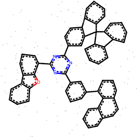 c1cc(-c2nc(-c3ccc4c(c3)C3(c5ccccc5-c5ccccc53)c3ccccc3-4)nc(-c3cccc4c3oc3ccccc34)n2)cc(-c2cccc3ccc4ccccc4c23)c1